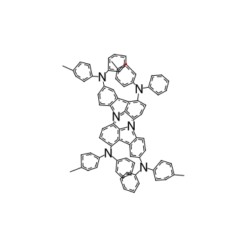 Cc1ccc(N(c2ccccc2)c2ccc3c(c2)c2c(N(c4ccccc4)c4ccc(C)cc4)ccc4c2n3c2ccc(N(c3ccccc3)c3ccc(C)cc3)c3c5cc(N(c6ccccc6)c6ccc(C)cc6)ccc5n4c32)cc1